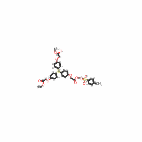 CC(C)(C)OC(=O)COc1ccc([S+](c2ccc(OCC(=O)OC(C)(C)C)cc2)c2ccc(OCC(=O)OC(C)(C)C)cc2)cc1.Cc1ccc(S(=O)(=O)[O-])cc1